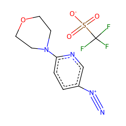 N#[N+]c1ccc(N2CCOCC2)nc1.O=S(=O)([O-])C(F)(F)F